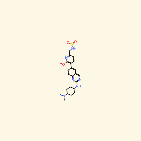 COc1nc(CN[SH](=O)=O)ccc1-c1ccc2nc(NC3CCC(N(C)C)CC3)ncc2c1